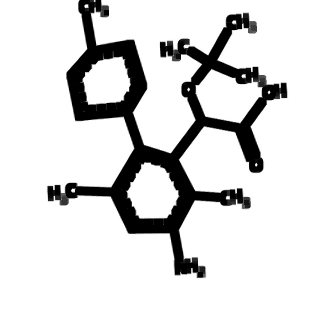 Cc1ccc(-c2c(C)cc(N)c(C)c2C(OC(C)(C)C)C(=O)O)cc1